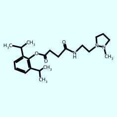 CC(C)c1cccc(C(C)C)c1OC(=O)CCC(=O)NCCN1CCCN1C